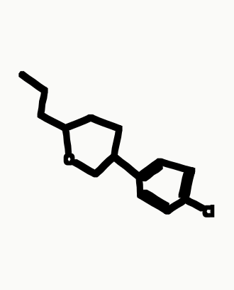 CCCC1CCC(c2ccc(Cl)cc2)CO1